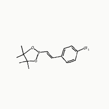 CC1(C)OB(/C=C/c2ccc(C(F)(F)F)cc2)OC1(C)C